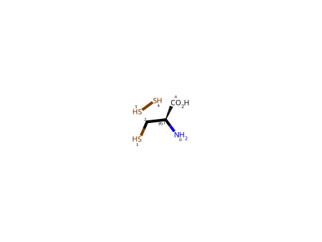 N[C@@H](CS)C(=O)O.SS